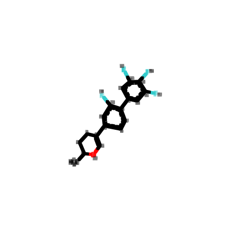 CC1CCC(c2ccc(-c3cc(F)c(F)c(F)c3)c(F)c2)=CO1